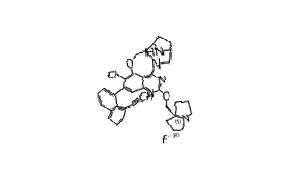 C#Cc1cccc2cccc(-c3cc4nc(OC[C@@]56CCCN5C[C@H](F)C6)nc5c4c(c3Cl)OCC3C4CCC(CN53)N4)c12